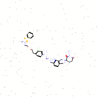 Cc1ccc(S(=O)(=O)N(C)CCOCCc2ccc(NC(=O)NCc3ccc4c(c3)CN(C3CCC(=O)NC3=O)C4=O)cc2Cl)cc1